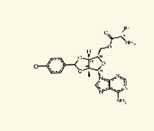 CC(C)[C@H](N)C(=O)OC[C@H]1O[C@@H](n2cnc3c(N)ncnc32)[C@]2(C)OC(c3ccc(Cl)cc3)O[C@H]12